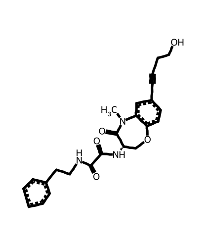 CN1C(=O)[C@@H](NC(=O)C(=O)NCCc2ccccc2)COc2ccc(C#CCCO)cc21